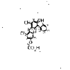 O=C(O)COc1cc(Cl)c(Cc2cc(-c3ccccc3)c(O)cc2Cl)c(Cl)c1